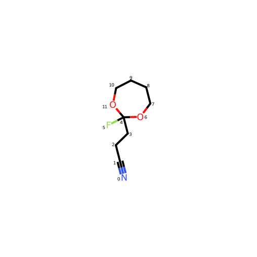 N#CCCC1(F)OCCCCO1